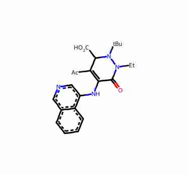 CCN1C(=O)C(Nc2cncc3ccccc23)=C(C(C)=O)C(C(=O)O)N1C(C)(C)C